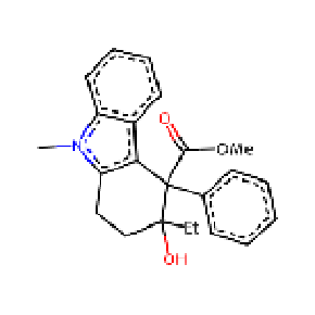 CCC1(O)CCc2c(c3ccccc3n2C)C1(C(=O)OC)c1ccccc1